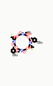 CC(C)C[C@H]1C(=O)O[C@H](Cc2ccc(C(C)(C)C)cc2)C(=O)N(C)C(CC(C)(C)F)C(=O)O[C@H](C)C(=O)N(C)[C@@H](CC(C)C)C(O)O[C@H](Cc2ccc(C(C)(C)C)cc2)C(=O)N(C)[C@@H](CC(C)(C)F)C(=O)O[C@H](C)C(=O)N1C